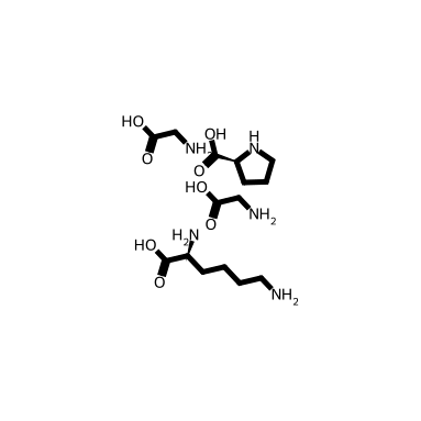 NCC(=O)O.NCC(=O)O.NCCCC[C@H](N)C(=O)O.O=C(O)[C@@H]1CCCN1